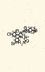 CN(CC(N)=O)Cc1nc(-c2ccc(Br)cc2)c(-c2ccc(Cl)cc2Cl)cc1CNC(=O)c1ccc(C(F)(F)F)cc1